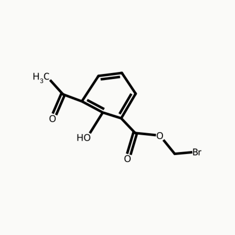 CC(=O)c1cccc(C(=O)OCBr)c1O